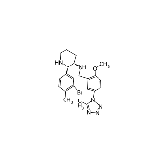 COc1ccc(-n2nnnc2C)cc1CN[C@@H]1CCCN[C@@H]1c1ccc(C)c(Br)c1